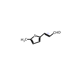 Cc1ccc(/C=C/[C]=O)s1